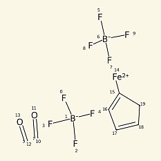 F[B-](F)(F)F.F[B-](F)(F)F.[C]=O.[C]=O.[Fe+2][C]1=CC=CC1